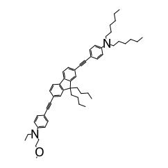 CCCCCCN(CCCCCC)c1ccc(C#Cc2ccc3c(c2)C(CCCC)(CCCC)c2cc(C#Cc4ccc(N(CC)CCOC)cc4)ccc2-3)cc1